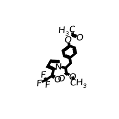 COC(=O)C(Cc1ccc(OC(C)=O)cc1)n1cccc1C(=O)C(F)(F)F